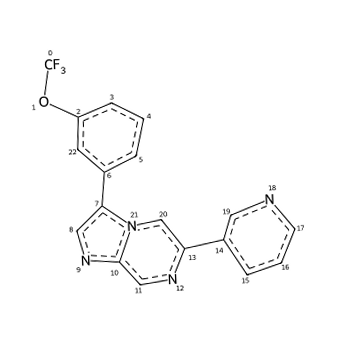 FC(F)(F)Oc1cccc(-c2cnc3cnc(-c4cccnc4)cn23)c1